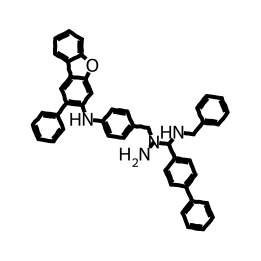 NN(Cc1ccc(Nc2cc3oc4ccccc4c3cc2-c2ccccc2)cc1)C(NCc1ccccc1)c1ccc(-c2ccccc2)cc1